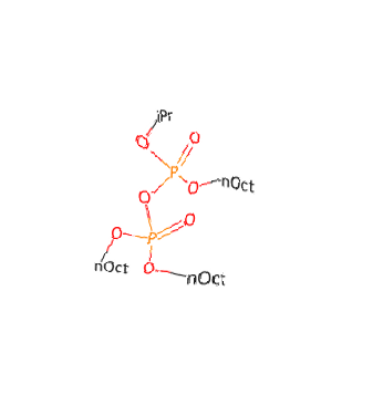 CCCCCCCCOP(=O)(OCCCCCCCC)OP(=O)(OCCCCCCCC)OC(C)C